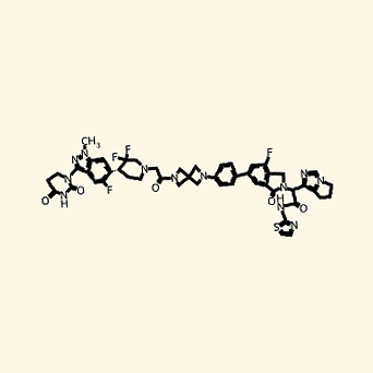 Cn1nc(N2CCC(=O)NC2=O)c2cc(F)c([C@H]3CCN(CC(=O)N4CC5(C4)CN(c4ccc(-c6cc(F)c7c(c6)C(=O)N(C(C(=O)Nc6nccs6)c6ncn8c6CCC8)C7)cc4)C5)CC3(F)F)cc21